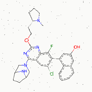 CN1CCC[C@H]1CCOc1nc(N2CC3CCC(C2)N3)c2cc(Cl)c(-c3cc(O)cc4ccccc34)c(F)c2n1